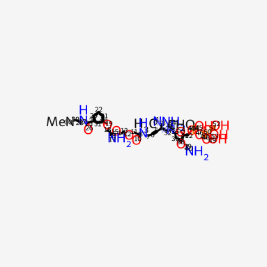 C/N=C(N)\C(C#CCNC(=O)COCCOC(N)COc1cccc(C(=O)NCCNC)c1)=C/N(C=O)C1CC(OCN)C(COP(O)OP(OO)OP(O)O)O1